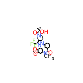 CN(C(=O)c1cccc(-n2nc(C(F)(F)F)c3c2CCN(C(=O)C2(O)CC2)C3)c1)c1ccc2c(c1)OCO2